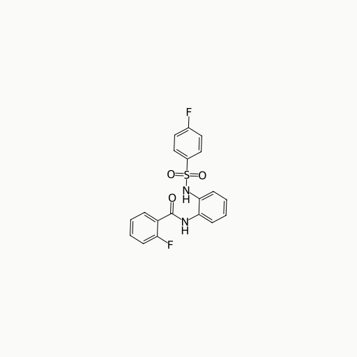 O=C(Nc1ccccc1NS(=O)(=O)c1ccc(F)cc1)c1ccccc1F